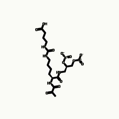 CC(=O)C(=O)N[C@@H](CCCCNC(=O)NCCCC(=O)O)C(=O)NC[C@H](CO[N+](=O)[O-])O[N+](=O)[O-]